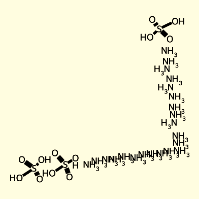 N.N.N.N.N.N.N.N.N.N.N.N.N.N.N.N.N.N.N.N.N.N.O=S(=O)(O)O.O=S(=O)(O)O.O=S(=O)(O)O